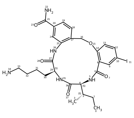 CC[C@H](C)[C@@H]1NC(=O)c2cc(I)ccc2OCc2ccc(C(N)=O)cc2NC(=O)[C@H](CCCCN)NC1=O